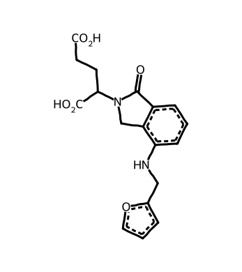 O=C(O)CCC(C(=O)O)N1Cc2c(NCc3ccco3)cccc2C1=O